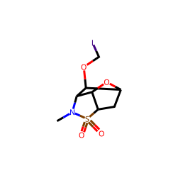 CN1C2C(OCI)C3CC(C2O3)S1(=O)=O